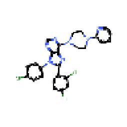 Clc1ccc(-n2c(-c3ccc(Cl)cc3Cl)nc3c(N4CCN(c5ccccn5)CC4)ncnc32)cc1